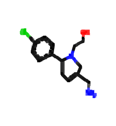 NCC1=CC=C(c2ccc(Cl)cc2)N(CCO)C1